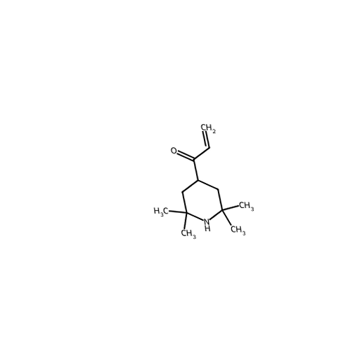 C=CC(=O)C1CC(C)(C)NC(C)(C)C1